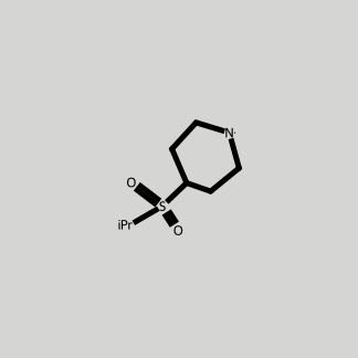 CC(C)S(=O)(=O)C1CC[N]CC1